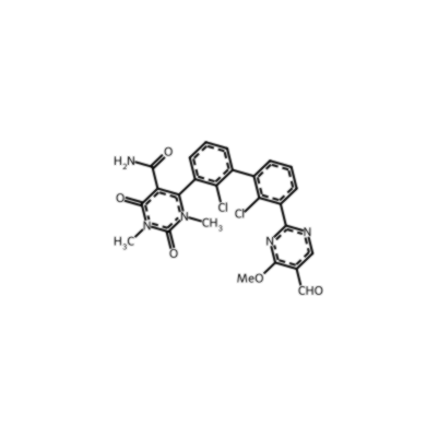 COc1nc(-c2cccc(-c3cccc(-c4c(C(N)=O)c(=O)n(C)c(=O)n4C)c3Cl)c2Cl)ncc1C=O